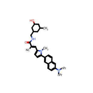 CCCN(CCC)c1ccc2cc(-c3ccc(/C=C(\C#N)C(=O)NCC4CC(C)CC(O)C4)n3C)ccc2c1